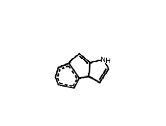 C1=CC2C(=Cc3ccccc32)N1